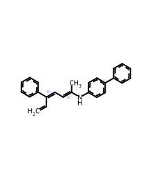 C=C/C(=C\C=C(/C)Nc1ccc(-c2ccccc2)cc1)c1ccccc1